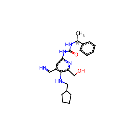 C[C@@H](NC(=O)Nc1cc(C=N)c(NCC2CCCC2)c(CO)n1)c1ccccc1